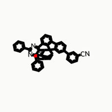 N#Cc1cccc(-c2ccc3c(c2)C2(c4c(-c5nc(-c6ccccc6)nc(-c6ccccc6)n5)cccc4-3)C3CC4CC(C3)CC2C4)c1